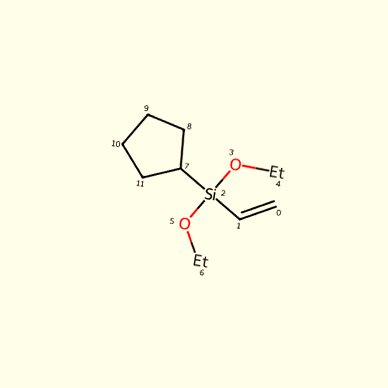 C=C[Si](OCC)(OCC)C1CCCC1